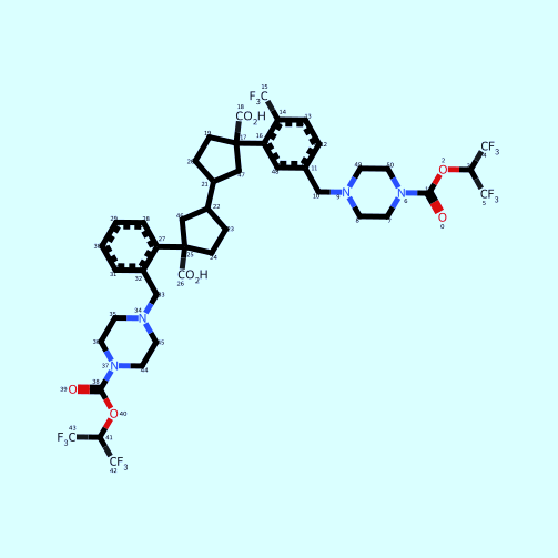 O=C(OC(C(F)(F)F)C(F)(F)F)N1CCN(Cc2ccc(C(F)(F)F)c(C3(C(=O)O)CCC(C4CCC(C(=O)O)(c5ccccc5CN5CCN(C(=O)OC(C(F)(F)F)C(F)(F)F)CC5)C4)C3)c2)CC1